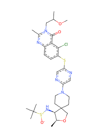 COC(C)Cn1c(C)nc2ccc(Sc3cnc(N4CCC5(CC4)CO[C@@H](C)[C@H]5N[S+]([O-])C(C)(C)C)cn3)c(Cl)c2c1=O